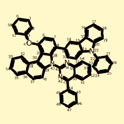 c1ccc(Oc2ccc(-c3ccc4c(c3)c3ccccc3n4-c3ccccc3)c3c2c2c4ccccc4ccc2n3-c2nc(-c3ccccc3)c3ccccc3n2)cc1